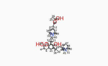 CC(C)C.CC(Cc1cc(C(C)(C)C)c(O)c(C(C)(C)C)c1)C(=O)O.CCC(=O)O.CN1C(C)(C)CCCC1(C)C.CN1C(C)(C)CCCC1(C)C